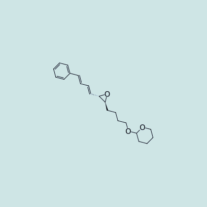 C(C=C[C@@H]1O[C@H]1CCCCOC1CCCCO1)=Cc1ccccc1